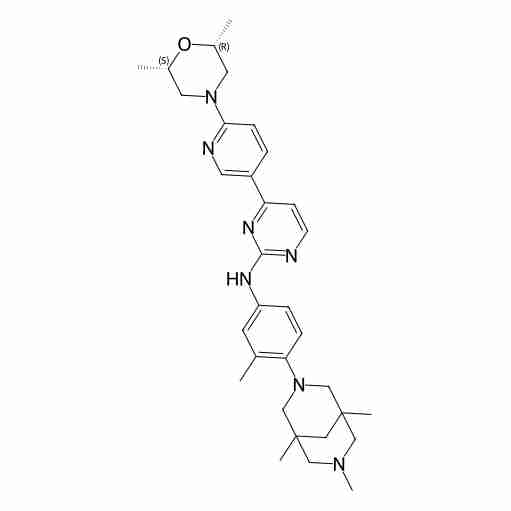 Cc1cc(Nc2nccc(-c3ccc(N4C[C@@H](C)O[C@@H](C)C4)nc3)n2)ccc1N1CC2(C)CN(C)CC(C)(C1)C2